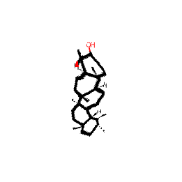 C[C@H]1[C@H](C)CC[C@]2(C)CC[C@]3(C)C(=CC[C@@H]4[C@@]5(C)CC[C@H](O)C(C)(C)[C@@H]5CC[C@]43C)[C@H]12